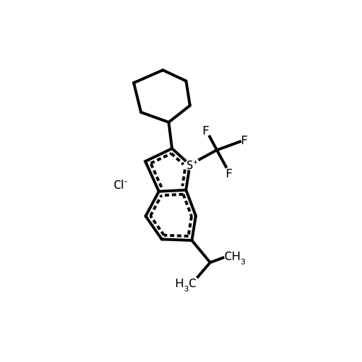 CC(C)c1ccc2cc(C3CCCCC3)[s+](C(F)(F)F)c2c1.[Cl-]